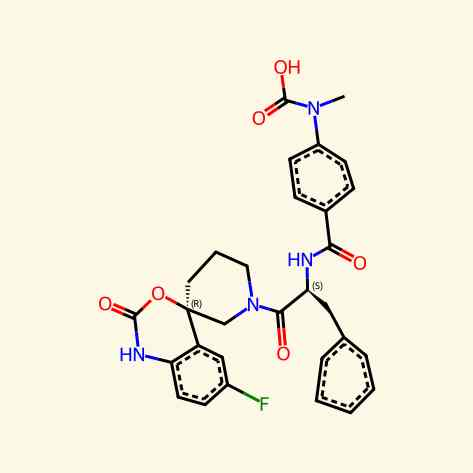 CN(C(=O)O)c1ccc(C(=O)N[C@@H](Cc2ccccc2)C(=O)N2CCC[C@@]3(C2)OC(=O)Nc2ccc(F)cc23)cc1